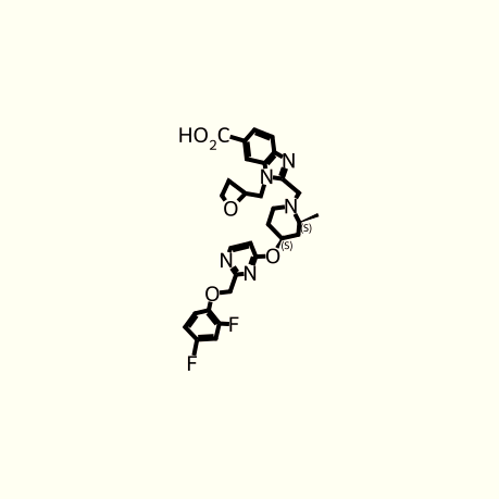 C[C@H]1C[C@@H](Oc2ccnc(COc3ccc(F)cc3F)n2)CCN1Cc1nc2ccc(C(=O)O)cc2n1CC1CCO1